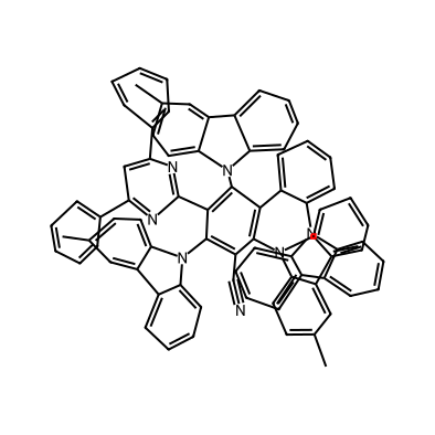 Cc1ccc2c(c1)c1ccccc1n2-c1c(C#N)c(-n2c3ccccc3c3cc(C)ccc32)c(-c2ccccc2-n2c3ccccc3c3ccccc32)c(-n2c3ccccc3c3cc(C)ccc32)c1-c1nc(-c2ccccc2)cc(-c2ccccc2)n1